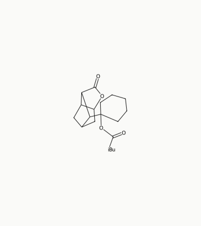 CCC(C)C(=O)OC1(C2C3CC4OC(=O)C2C4C3)CCCCC1